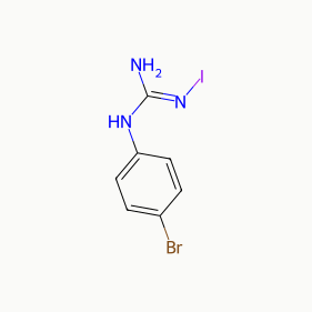 NC(=NI)Nc1ccc(Br)cc1